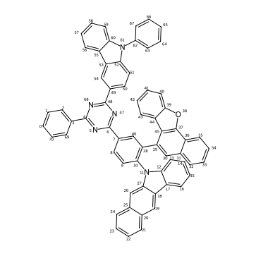 c1ccc(-c2nc(-c3ccc(-n4c5ccccc5c5cc6ccccc6cc54)c(-c4cc5ccccc5c5oc6ccccc6c45)c3)nc(-c3ccc4c(c3)c3ccccc3n4-c3ccccc3)n2)cc1